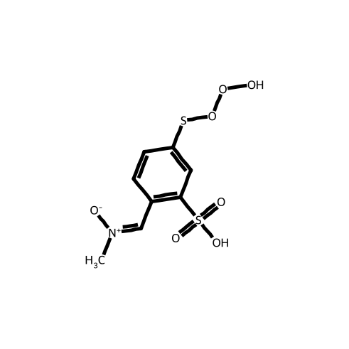 C[N+]([O-])=Cc1ccc(SOOO)cc1S(=O)(=O)O